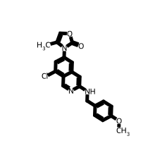 COc1ccc(CNc2cc3cc(-n4c(C)coc4=O)cc(Cl)c3cn2)cc1